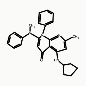 Cc1cc(NC2CCCC2)c2c(=O)cc(N(C)c3ccccc3)n(-c3ccccc3)c2n1